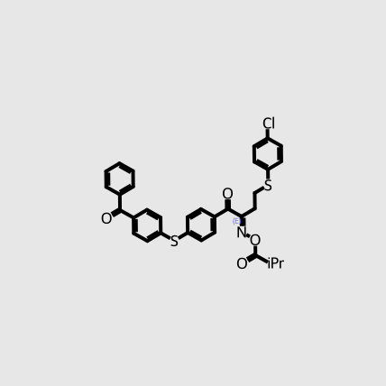 CC(C)C(=O)O/N=C(\CCSc1ccc(Cl)cc1)C(=O)c1ccc(Sc2ccc(C(=O)c3ccccc3)cc2)cc1